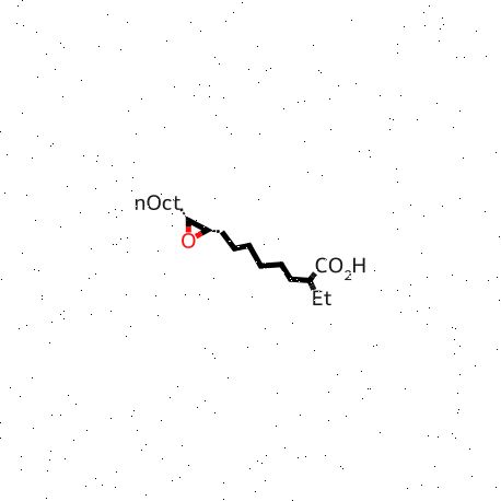 CCCCCCCC[C@H]1O[C@H]1CCCCCCC(CC)C(=O)O